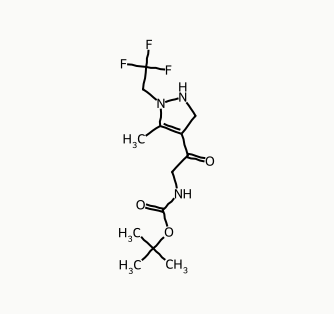 CC1=C(C(=O)CNC(=O)OC(C)(C)C)CNN1CC(F)(F)F